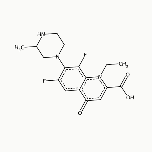 CCn1c(C(=O)O)cc(=O)c2cc(F)c(N3CCNC(C)C3)c(F)c21